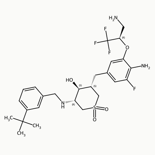 CC(C)(C)c1cccc(CN[C@H]2CS(=O)(=O)C[C@@H](Cc3cc(F)c(N)c(O[C@H](CN)C(F)(F)F)c3)[C@@H]2O)c1